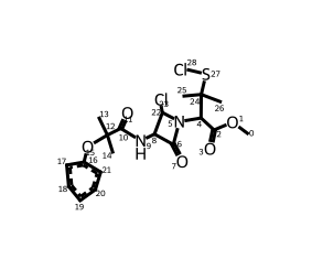 COC(=O)C(N1C(=O)C(NC(=O)C(C)(C)Oc2ccccc2)C1Cl)C(C)(C)SCl